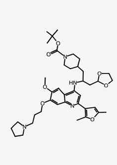 COc1cc2c(NC(CC3CCN(C(=O)OC(C)(C)C)CC3)CC3OCCO3)cc(-c3cc(C)oc3C)nc2cc1OCCCN1CCCC1